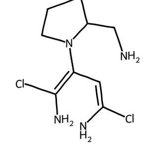 NCC1CCCN1C(/C=C(\N)Cl)=C(/N)Cl